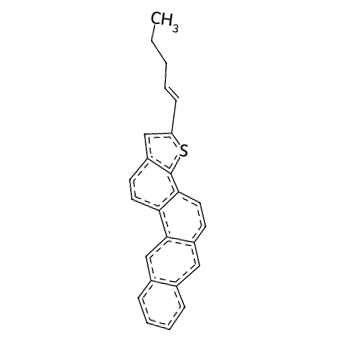 CCC/C=C/c1cc2ccc3c4cc5ccccc5cc4ccc3c2s1